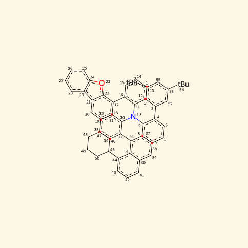 CC(C)(C)c1cc(-c2ccccc2N(c2ccccc2-c2cccc3c2oc2ccccc23)c2ccccc2-c2cccc3cccc(C4CCCCC4)c23)cc(C(C)(C)C)c1